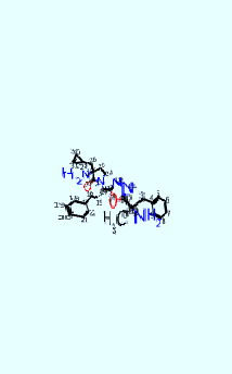 C[C@@](N)(Cc1ccccc1)c1nnc([C@H](CCc2ccccc2)N2CCC(N)(CC3CC3)C2=O)o1